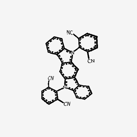 N#Cc1cccc(C#N)c1-n1c2ccccc2c2cc3c(cc21)c1ccccc1n3-c1c(C#N)cccc1C#N